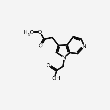 COC(=O)Cc1cn(CC(=O)O)c2cnccc12